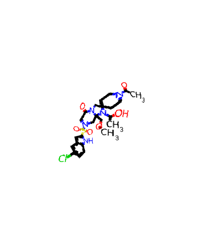 COCC12CN(S(=O)(=O)c3cc4cc(Cl)ccc4[nH]3)CC(=O)N1CC1(CCN(C(C)=O)CC1)N2C(C)O